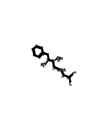 N[C@@H](Cc1ccccc1)[C@H](O)CNCC(F)F